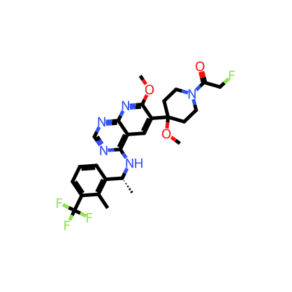 COc1nc2ncnc(N[C@H](C)c3cccc(C(F)(F)F)c3C)c2cc1C1(OC)CCN(C(=O)CF)CC1